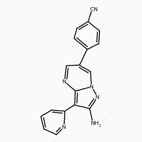 N#Cc1ccc(-c2cnc3c(-c4ccccn4)c(N)nn3c2)cc1